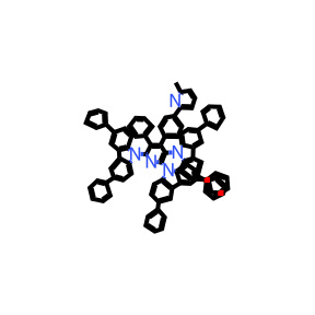 Cc1cccc(-c2ccc(-c3c(-c4ccccc4)c(-n4c5ccc(-c6ccccc6)cc5c5cc(-c6ccccc6)ccc54)nc(-n4c5ccc(-c6ccccc6)cc5c5cc(-c6ccccc6)ccc54)c3-n3c4ccc(-c5ccccc5)cc4c4cc(-c5ccccc5)ccc43)cc2)n1